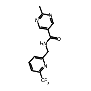 Cc1ncc(C(=O)NCc2cccc(C(F)(F)F)n2)cn1